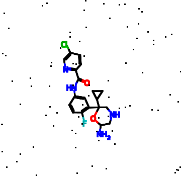 NC1CNCC(c2cc(NC(=O)c3ccc(Cl)cn3)ccc2F)(C2CC2)O1